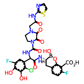 O=C(CN1CCN(C(=O)NC(C(=O)N[C@H]2Cc3ccc(F)c(C(=O)O)c3OB2O)c2cc(F)c(O)c(O)c2Cl)C(=O)C1=O)Nc1nccs1